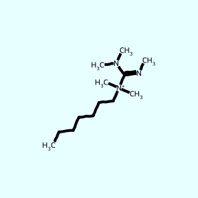 CCCCCCC[N+](C)(C)C(=NC)N(C)C